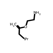 C=C(CC(C)C)OCCN